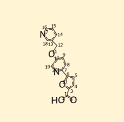 O=C(O)c1ccc(-c2ccc(OCc3cccnc3)cn2)o1